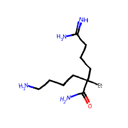 C[CH]C(CCCCN)(CCCC(=N)N)C(N)=O